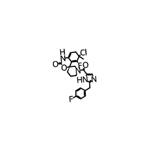 CC1(Cl)CC=C2NC(=O)O[C@]3(CCCN(C(=O)c4cnc(Cc5ccc(F)cc5)[nH]4)C3)C2=C1F